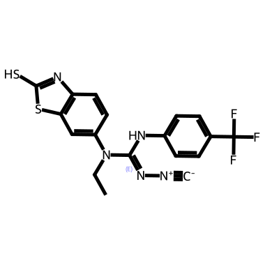 [C-]#[N+]/N=C(\Nc1ccc(C(F)(F)F)cc1)N(CC)c1ccc2nc(S)sc2c1